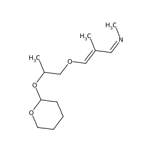 C/N=C\C(C)=C\OCC(C)OC1CCCCO1